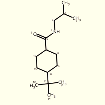 CC(C)CNC(=O)C1CCC(C(C)(C)C)CC1